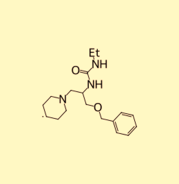 CCNC(=O)NC(COCc1ccccc1)CN1CC[CH]CC1